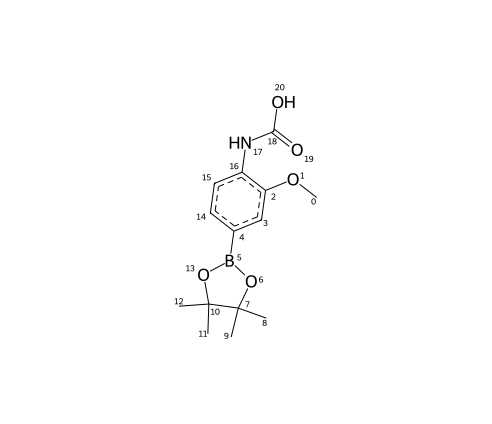 COc1cc(B2OC(C)(C)C(C)(C)O2)ccc1NC(=O)O